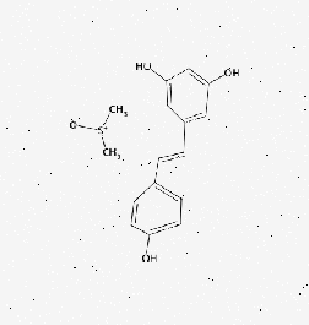 C[S+](C)[O-].Oc1ccc(C=Cc2cc(O)cc(O)c2)cc1